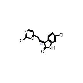 O=C1Nc2cc(Cl)ccc2/C1=C\Cc1ccnc(Cl)n1